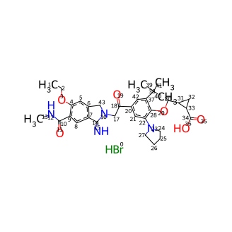 Br.CCOc1cc2c(cc1C(=O)NC)C(=N)N(CC(=O)c1cc(N3CCCC3)c(OCC3CC3C(=O)O)c(C(C)(C)C)c1)C2